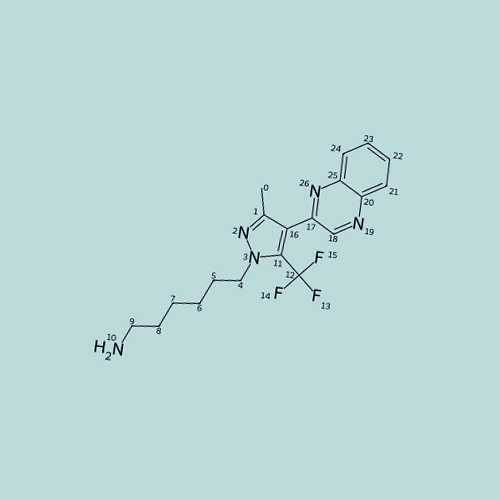 Cc1nn(CCCCCCN)c(C(F)(F)F)c1-c1cnc2ccccc2n1